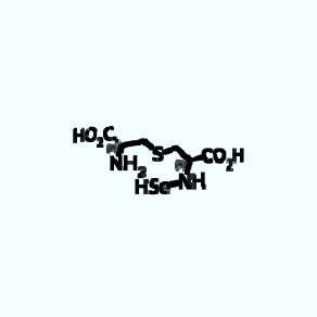 N[C@@H](CSC[C@H](N[SeH])C(=O)O)C(=O)O